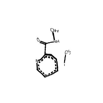 CI.O=C(NO)c1ccccn1